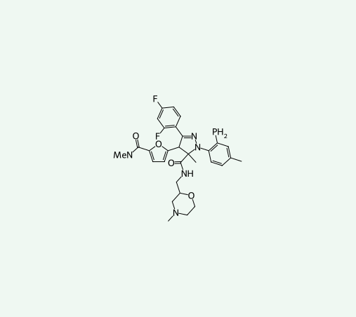 CNC(=O)c1ccc(C2C(c3ccc(F)cc3F)=NN(c3ccc(C)cc3P)C2(C)C(=O)NCC2CN(C)CCO2)o1